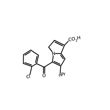 CCCc1cc2n(c1C(=O)c1ccccc1Cl)CC=C2C(=O)O